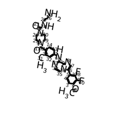 COc1ccc(-c2cnc3c(Nc4ccc(C(=O)N5CCN(C(=O)NCCN)CC5)c(C)c4)nccn23)c(F)c1F